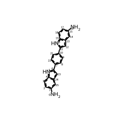 Nc1ccc2[nH]c(-c3ccc(-c4cc5cc(N)ccc5[nH]4)cc3)cc2c1